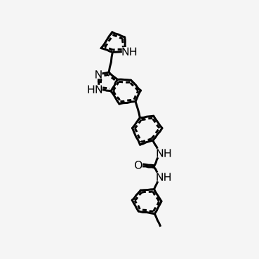 Cc1cccc(NC(=O)Nc2ccc(-c3ccc4c(-c5ccc[nH]5)n[nH]c4c3)cc2)c1